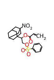 C=CC(=O)OC(COS(=O)(=O)c1ccccc1)C12CC3CC(C1)CC([N+](=O)[O-])(C3)C2